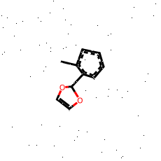 Cc1ccccc1C1O[C]=CO1